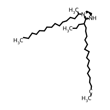 CCCCCCCCCCCCCCCCCCC(CCC)c1[nH]cc[n+]1C(C)CCCCCCCCCCCCCCC